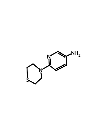 Nc1ccc(N2CCSCC2)nc1